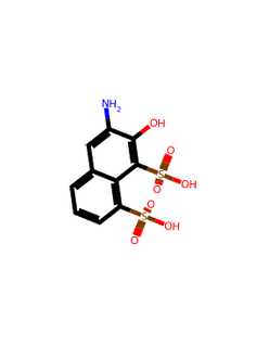 Nc1[c]c2cccc(S(=O)(=O)O)c2c(S(=O)(=O)O)c1O